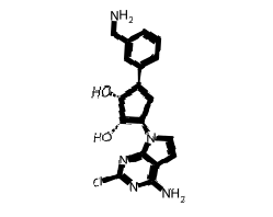 NCc1cccc([C@H]2C[C@@H](n3ccc4c(N)nc(Cl)nc43)[C@H](O)[C@@H]2O)c1